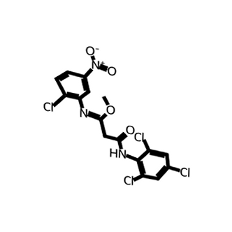 COC(CC(=O)Nc1c(Cl)cc(Cl)cc1Cl)=Nc1cc([N+](=O)[O-])ccc1Cl